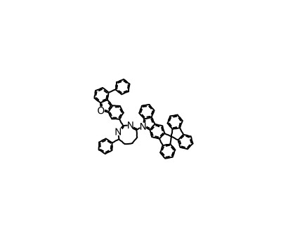 c1ccc(-c2cccc3oc4cc(C5=N/C(c6ccccc6)CCC/C(n6c7ccccc7c7cc8c(cc76)-c6ccccc6C86c7ccccc7-c7ccccc76)=N\5)ccc4c23)cc1